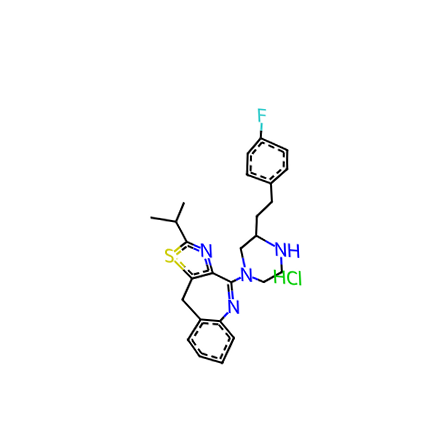 CC(C)c1nc2c(s1)Cc1ccccc1N=C2N1CCNC(CCc2ccc(F)cc2)C1.Cl